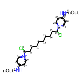 CCCCCCCCNc1cc[n+](C(Cl)CCCCCCCCC(Cl)[n+]2ccc(NCCCCCCCC)cc2)cc1